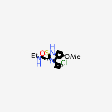 CCNC(=O)C[C@@H]1N=C(C2=CC[C@H]2Cl)c2cc(OC)ccc2NC1=S